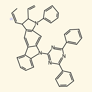 C=CC1C(/C=C\C)c2cc3c4ccccc4n(-c4nc(-c5ccccc5)nc(-c5ccccc5)n4)c3cc2N1c1ccccc1